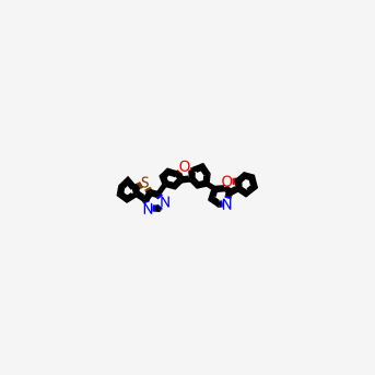 c1ccc2c(c1)oc1c(-c3ccc4oc5ccc(-c6ncnc7c6sc6ccccc67)cc5c4c3)ccnc12